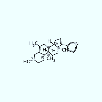 CC1=C2C[C@@H](O)CC[C@]2(C)[C@H]2CC[C@]3(C)C(c4cccnc4)=CC[C@H]3[C@@H]2C1